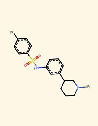 CCCN1CCCC(c2cccc(NS(=O)(=O)c3ccc(C(C)C)cc3)c2)C1